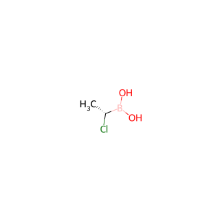 C[C@@H](Cl)B(O)O